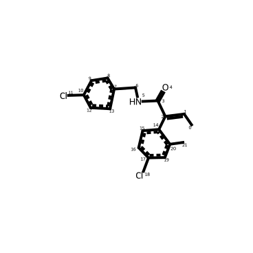 C/C=C(/C(=O)NCc1ccc(Cl)cc1)c1ccc(Cl)cc1C